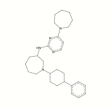 c1ccc(C2CCC(N3CCCCC(Nc4nccc(N5CCCCCC5)n4)C3)CC2)cc1